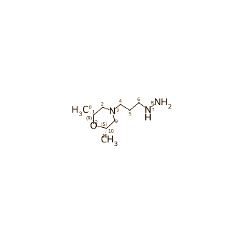 C[C@@H]1CN(CCCNN)C[C@H](C)O1